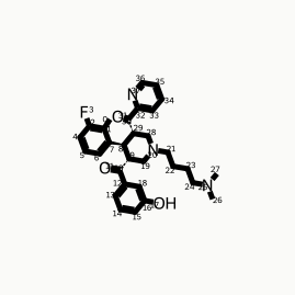 Cc1c(F)cccc1[C@@H]1[C@@H](C(=O)c2cccc(O)c2)CN(CCCCN(C)C)C[C@H]1C(=O)c1ccccn1